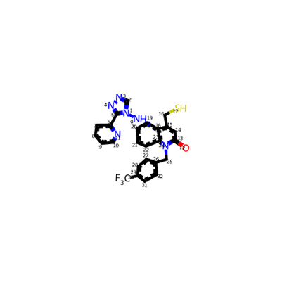 Nn1cnnc1-c1ccccn1.O=c1cc(CS)c2ccccc2n1Cc1ccc(C(F)(F)F)cc1